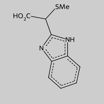 CSC(C(=O)O)c1nc2ccccc2[nH]1